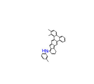 Cc1cccc(NC2=C3C=c4cc5c(cc4=C3CC=C2)c2ccccc2c2ccc(C)c(C)c25)c1